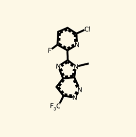 Cn1c(-c2nc(Cl)ccc2F)nc2cc(C(F)(F)F)nnc21